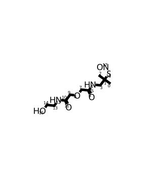 CC(C)(CNC(=O)COCC(=O)NCCO)SN=O